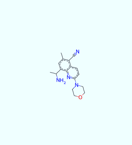 Cc1cc(C(C)N)c2nc(N3CCOCC3)ccc2c1C#N